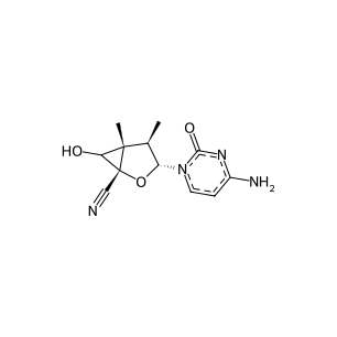 C[C@H]1[C@H](n2ccc(N)nc2=O)O[C@]2(C#N)C(O)[C@]12C